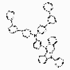 c1ccc(-c2cccc(-c3ccc(N(c4ccc(-c5cccc(-c6ccccc6)c5)cc4)c4cccc(-c5c6ccccc6cc6c5c5ccccc5n6-c5ccccc5)c4)cc3)c2)cc1